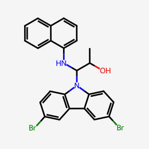 CC(O)C(Nc1cccc2ccccc12)n1c2ccc(Br)cc2c2cc(Br)ccc21